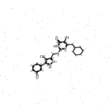 CCc1c(CC2CCCCC2)nc(SCc2n[nH]c(-c3cccc(Cl)c3)c2Cl)[nH]c1=O